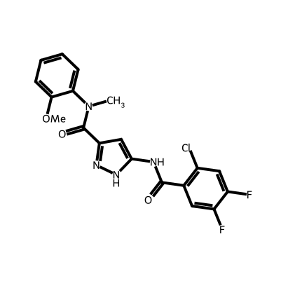 COc1ccccc1N(C)C(=O)c1cc(NC(=O)c2cc(F)c(F)cc2Cl)[nH]n1